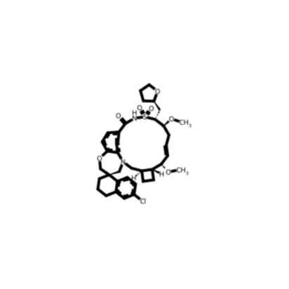 CO[C@H]1/C=C/C[C@H](OC)[C@@H](C[C@H]2CCCO2)S(=O)(=O)NC(=O)c2ccc3c(c2)N(C[C@@H]2CC[C@H]21)C[C@@]1(CCCc2cc(Cl)ccc21)CO3